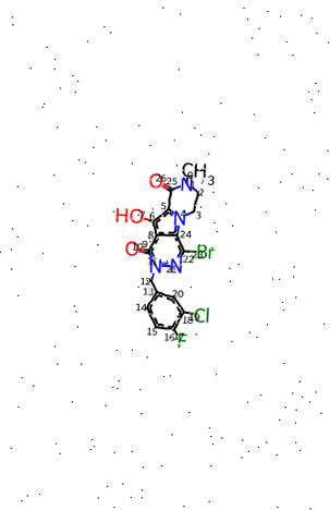 CN1CCn2c(c(O)c3c(=O)n(Cc4ccc(F)c(Cl)c4)nc(Br)c32)C1=O